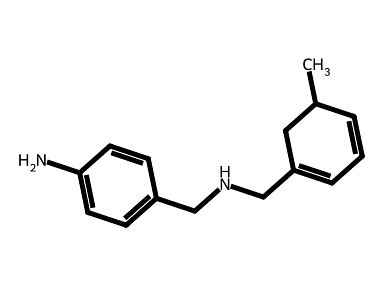 CC1C=CC=C(CNCc2ccc(N)cc2)C1